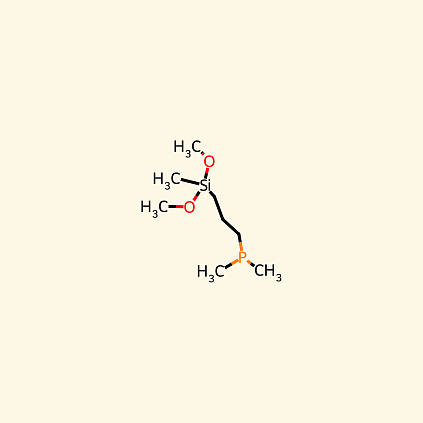 CO[Si](C)(CCCP(C)C)OC